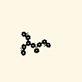 c1ccc(N(c2ccc(-c3cc(-c4ccc5sc6ccccc6c5c4)cc(-c4ccc5sc6ccccc6c5c4)c3)cc2)c2ccc(-c3cccc4c3sc3ccccc34)cc2)cc1